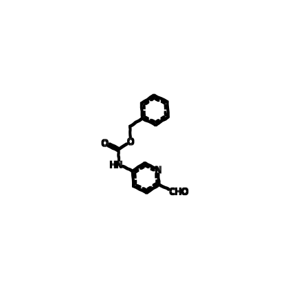 O=Cc1ccc(NC(=O)OCc2ccccc2)cn1